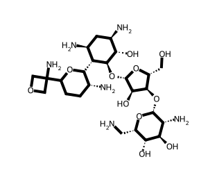 NC[C@@H]1O[C@H](O[C@H]2[C@@H](O)[C@H](O[C@@H]3[C@@H](O)[C@H](N)C[C@H](N)[C@H]3C3OC(C4(N)COC4)CC[C@H]3N)O[C@@H]2CO)[C@H](N)[C@@H](O)[C@@H]1O